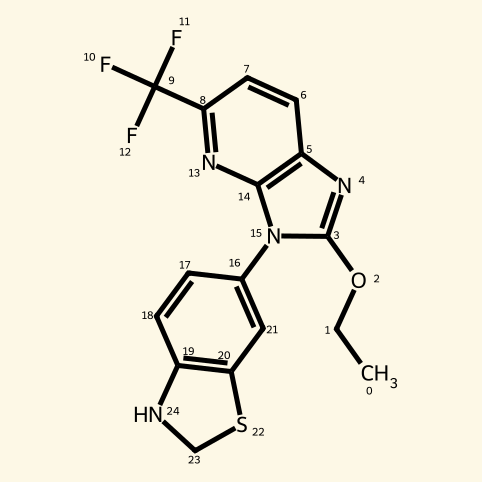 CCOc1nc2ccc(C(F)(F)F)nc2n1-c1ccc2c(c1)SCN2